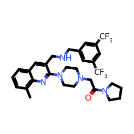 Cc1cccc2cc(CNCc3cc(C(F)(F)F)cc(C(F)(F)F)c3)c(N3CCN(CC(=O)N4CCCC4)CC3)nc12